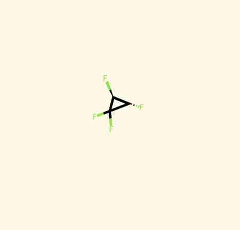 F[C@H]1[C@H](F)C1(F)F